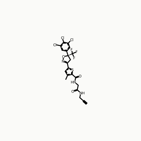 C#CCNC(=O)CNC(=O)c1sc(C2=NO[C@@](c3cc(Cl)c(Cl)c(Cl)c3)(C(F)(F)F)C2)cc1C